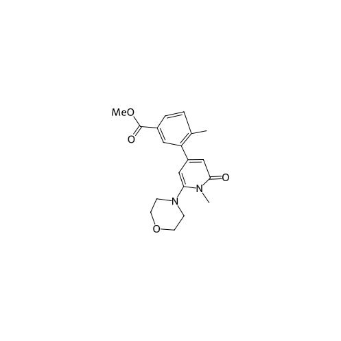 COC(=O)c1ccc(C)c(-c2cc(N3CCOCC3)n(C)c(=O)c2)c1